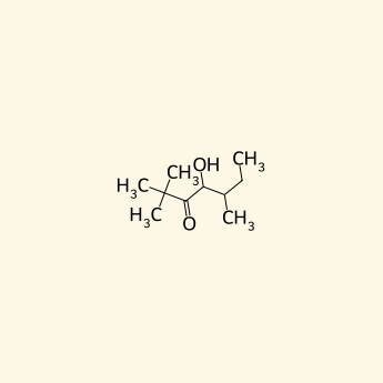 CCC(C)C(O)C(=O)C(C)(C)C